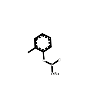 Cc1ccccc1OP(Cl)OCC(C)C